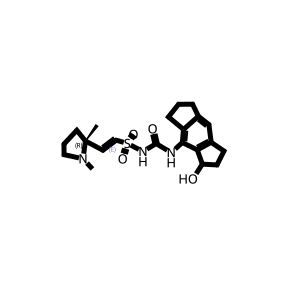 CN1CCC[C@]1(C)/C=C/S(=O)(=O)NC(=O)Nc1c2c(cc3c1C(O)CC3)CCC2